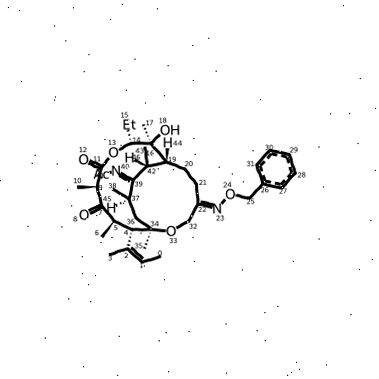 C/C=C(/C)[C@@H]1[C@@H](C)C(=O)[C@@H](C)C(=O)O[C@H](CC)[C@@](C)(O)[C@@H]2CC/C(=N\OCc3ccccc3)CO[C@]1(C)C[C@@H](C)/C(=N\C(C)=O)[C@@H]2C